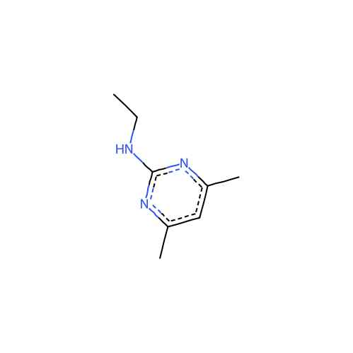 CCNc1nc(C)cc(C)n1